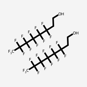 OCCC(F)(F)C(F)(F)C(F)(F)C(F)(F)C(F)(F)C(F)(F)F.OCCC(F)(F)C(F)(F)C(F)(F)C(F)(F)C(F)(F)C(F)(F)F